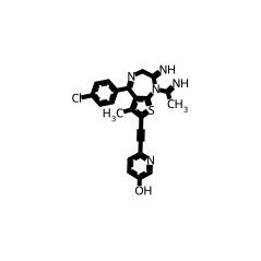 CC(=N)N1C(=N)CN=C(c2ccc(Cl)cc2)c2c1sc(C#Cc1ccc(O)cn1)c2C